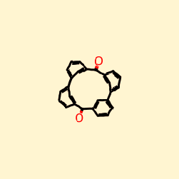 O=C1c2cccc(c2)-c2cccc(c2)C(=O)c2cccc(c2)-c2cccc1c2